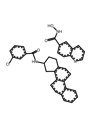 O=C(NC1CCc2ccc3c(ccc4ccccc43)c2C1)c1cccc(Cl)c1.O=C(NO)c1ccc2ncccc2c1